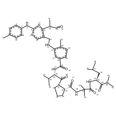 Cc1ccc(Nc2ncc(CNc3cc(C(=O)N[C@H](C(=O)N4CCC[C@H]4C(=O)NC(C)(C)C(=O)N[C@@H](CC(C)C)C(=O)N(C)C)C(C)C)ccc3C)c(N(C)C=O)n2)cn1